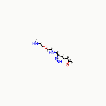 CNCCOCCN/C=C(/CCCC(C)=O)N=N